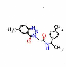 Cc1ccc(C(C)NC(=O)Cn2nnc3ccc(C)cc3c2=O)cc1